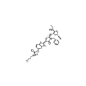 CCNc1ccc(C#N)cc1/N=C1/S/C(=C2\Sc3ccc(OC(=O)NCCCCl)cc3N2C)C(=O)N1Cc1ccccc1